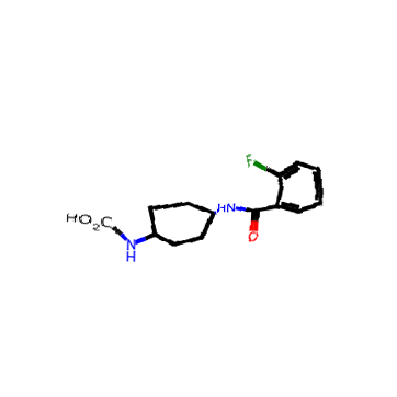 O=C(O)NC1CCC(NC(=O)c2ccccc2F)CC1